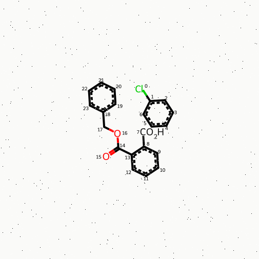 Clc1ccccc1.O=C(O)c1ccccc1C(=O)OCc1ccccc1